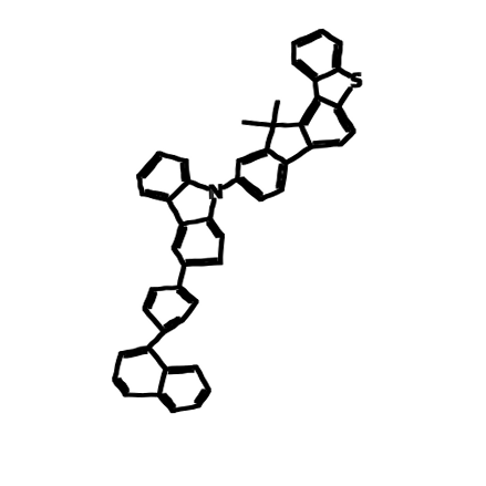 CC1(C)c2cc(-n3c4ccccc4c4cc(-c5ccc(-c6cccc7ccccc67)cc5)ccc43)ccc2-c2ccc3sc4ccccc4c3c21